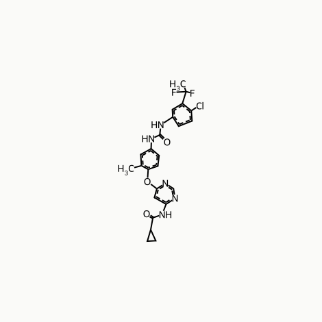 Cc1cc(NC(=O)Nc2ccc(Cl)c(C(C)(F)F)c2)ccc1Oc1cc(NC(=O)C2CC2)ncn1